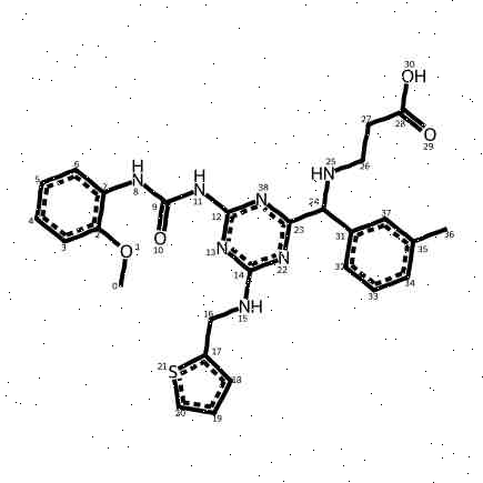 COc1ccccc1NC(=O)Nc1nc(NCc2cccs2)nc(C(NCCC(=O)O)c2cccc(C)c2)n1